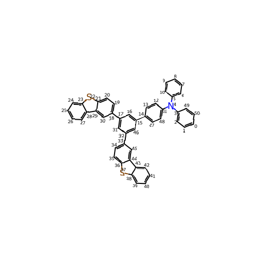 c1ccc(N(c2ccccc2)c2ccc(-c3cc(-c4ccc5sc6ccccc6c5c4)cc(-c4ccc5sc6ccccc6c5c4)c3)cc2)cc1